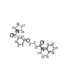 O=C(c1cccc(OCCCC(=O)N2CCCc3ccccc32)c1)N1CCCC1